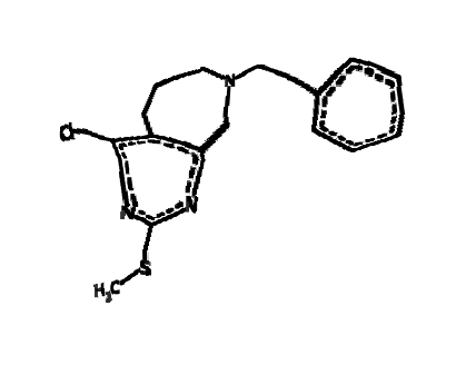 CSc1nc(Cl)c2c(n1)CN(Cc1ccccc1)CC2